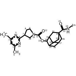 Cc1cc(C)nc(C2CCN(C(=O)OC3C4CC5CC3CC(C(=O)NI)(C5)C4)C2)n1